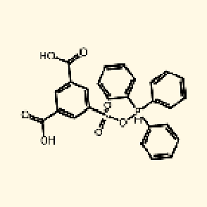 O=C(O)c1cc(C(=O)O)cc(S(=O)(=O)O[PH](c2ccccc2)(c2ccccc2)c2ccccc2)c1